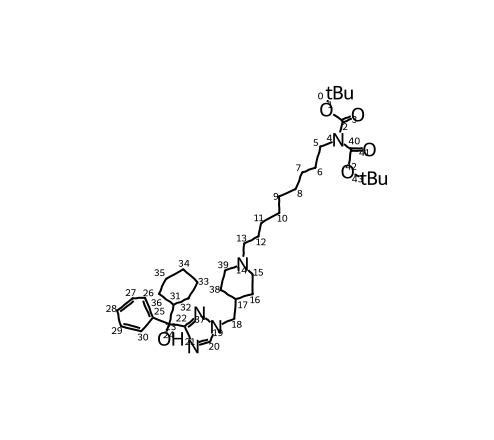 CC(C)(C)OC(=O)N(CCCCCCCCCN1CCC(Cn2cnc(C(O)(c3ccccc3)C3CCCCC3)n2)CC1)C(=O)OC(C)(C)C